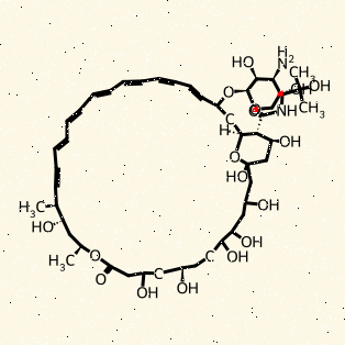 C[C@H]1C[C@H](O)[C@@H](C)/C=C/C=C/C=C/C=C/C=C/C=C/C=C/C(O[C@@H]2OC[C@@H](O)[C@H](N)[C@@H]2O)C[C@@H]2OC(O)(CC(O)CC(O)C(O)CC[C@@H](O)CC(O)CC(=O)O1)C[C@H](O)[C@H]2C(=O)NCC(C)(C)O